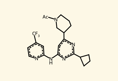 CC(=O)N1CCCC(c2cc(Nc3cc(C(F)(F)F)ccn3)nc(C3CCC3)n2)C1